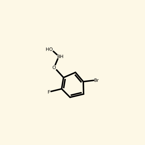 OBOc1cc(Br)ccc1F